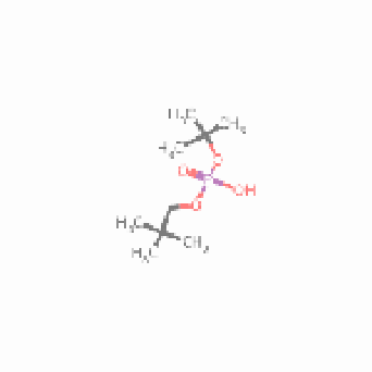 CC(C)(C)COP(=O)(O)OC(C)(C)C